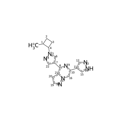 CC1CCC1n1cc(-c2nc(-c3cn[nH]c3)cn3nccc23)cn1